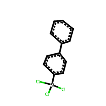 Cl[Si](Cl)(Cl)c1ccc(-c2ccccc2)cc1